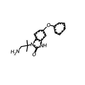 CC(C)(CN)n1c(=O)[nH]c2cc(Oc3ccccc3)ccc21